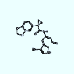 C=C/C=C(\C=C1/CNC=C1Br)NC(=O)C1(c2ccc3c(c2)OCO3)CC1